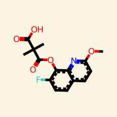 COc1ccc2ccc(F)c(OC(=O)C(C)(C)C(=O)O)c2n1